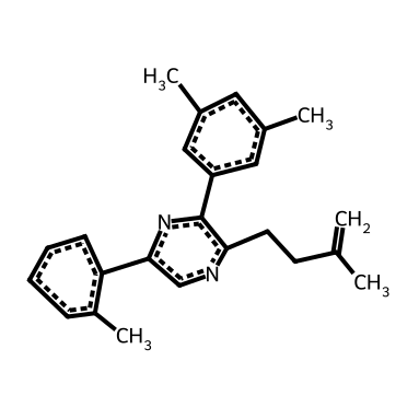 C=C(C)CCc1ncc(-c2ccccc2C)nc1-c1cc(C)cc(C)c1